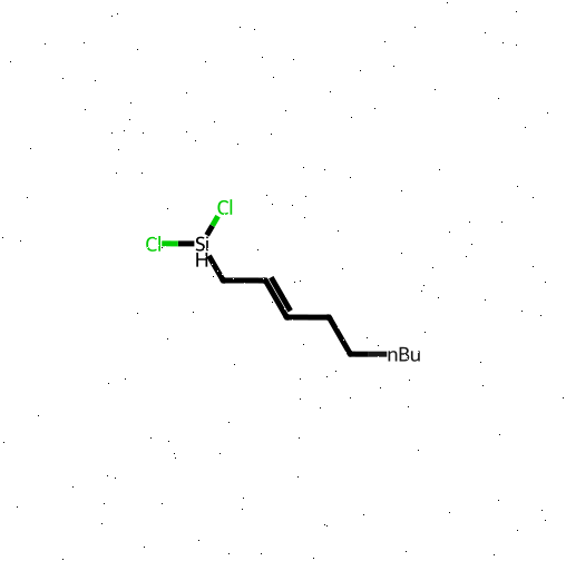 CCCCCCC=CC[SiH](Cl)Cl